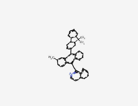 Cc1ccc2c(-c3nccc4ccccc34)c3ccccc3c(-c3ccc4c(c3)C(C)(C)c3ccccc3-4)c2c1